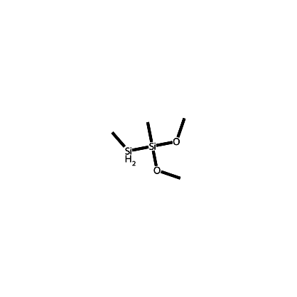 CO[Si](C)(OC)[SiH2]C